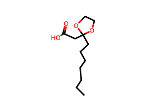 CCCCCCCC1(CC(=O)O)OCCO1